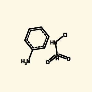 Nc1ccccc1.O=[SH](=O)NCl